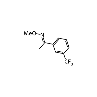 [CH2]O/N=C(\C)c1cccc(C(F)(F)F)c1